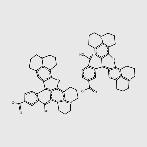 O=C([O-])c1ccc(C(=O)O)c(C2=c3cc4c5c(c3Oc3c2cc2c6c3CCCN6CCC2)CCC[N+]=5CCC4)c1.O=C([O-])c1ccc(C2=c3cc4c5c(c3Oc3c2cc2c6c3CCCN6CCC2)CCC[N+]=5CCC4)c(C(=O)O)c1